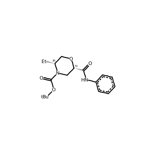 CC[C@@H]1CO[C@H](C(=O)Nc2ccccc2)CN1C(=O)OC(C)(C)C